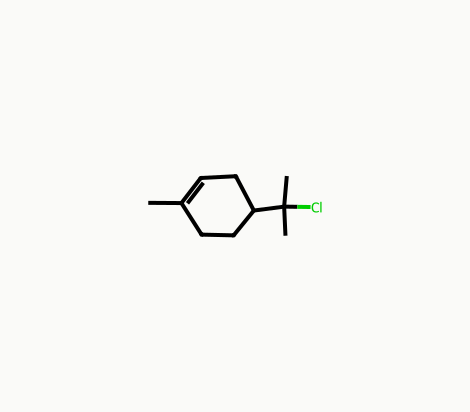 CC1=CCC(C(C)(C)Cl)CC1